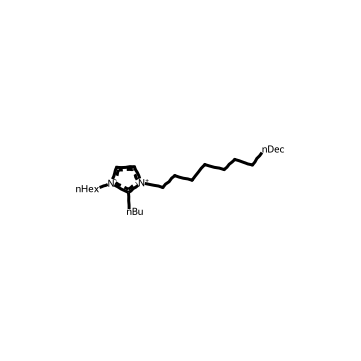 CCCCCCCCCCCCCCCCC[n+]1ccn(CCCCCC)c1CCCC